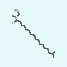 CC(C)CCCCCCCCCCCCCCC(=O)N(C)CO